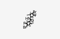 Cc1cc(Br)c(F)cc1NC(=O)c1cc(F)c(Br)cc1C